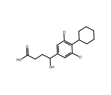 O=C(O)CCC(O)c1cc(Cl)c(C2CCCCC2)c(Cl)c1